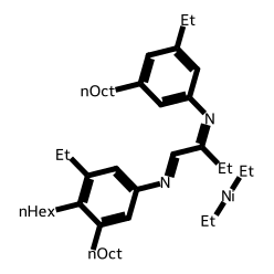 CCCCCCCCc1cc(CC)cc(N=C(C=Nc2cc(CC)c(CCCCCC)c(CCCCCCCC)c2)CC)c1.C[CH2][Ni][CH2]C